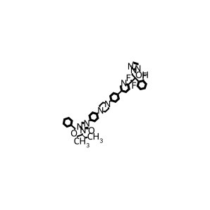 CC[C@@H]([C@H](C)OCc1ccccc1)n1ncn(-c2ccc(N3CCN(c4ccc(-c5ccc(C(F)(F)C(O)(Cn6nccn6)c6ccccc6F)nc5)cc4)CC3)cc2)c1=O